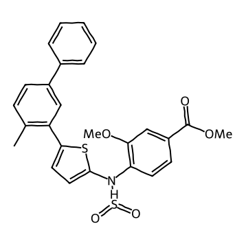 COC(=O)c1ccc(N(c2ccc(-c3cc(-c4ccccc4)ccc3C)s2)[SH](=O)=O)c(OC)c1